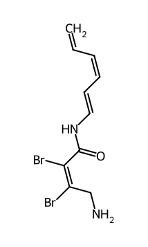 C=C/C=C\C=C\NC(=O)/C(Br)=C(/Br)CN